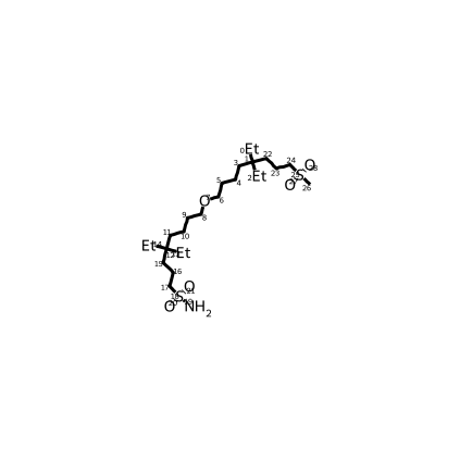 CCC(CC)(CCCCOCCCCC(CC)(CC)CCCS(N)(=O)=O)CCCS(C)(=O)=O